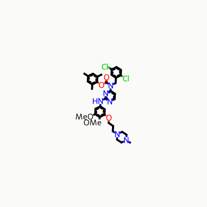 COc1cc(Nc2nccc(N(Cc3cc(Cl)ccc3Cl)C(=O)Oc3c(C)cc(C)cc3C)n2)cc(OCCCN2CCN(C)CC2)c1OC